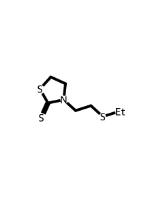 CCSCCN1CCSC1=S